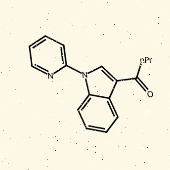 CCCC(=O)c1cn(-c2ccccn2)c2ccccc12